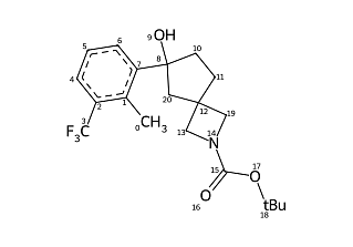 Cc1c(C(F)(F)F)cccc1C1(O)CCC2(CN(C(=O)OC(C)(C)C)C2)C1